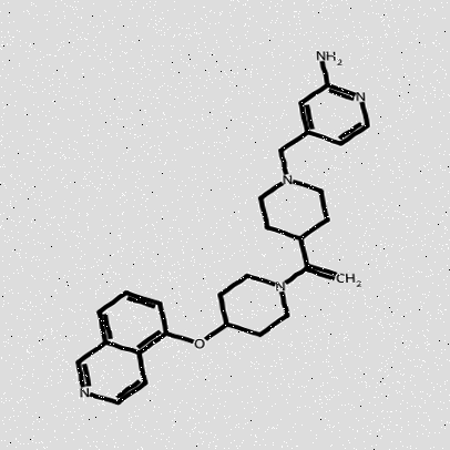 C=C(C1CCN(Cc2ccnc(N)c2)CC1)N1CCC(Oc2cccc3cnccc23)CC1